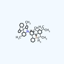 Cc1ccc2c(c1)C1(c3ccccc3-c3ccccc31)c1cc(C)ccc1N2c1ccc2c(c1)-c1ccccc1SB2c1c(C(C)C)cc(C(C)C)cc1C(C)C